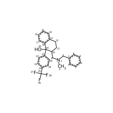 CN(Cc1ccccc1)CC1CCc2ccccc2C1(O)c1ccc(C(F)(F)F)cc1